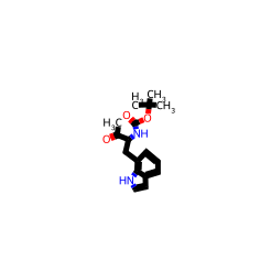 CC(=O)C(Cc1cccc2cc[nH]c12)NC(=O)OC(C)(C)C